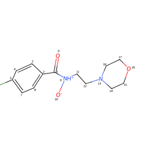 O=C(c1ccc(Cl)cc1)[NH+]([O-])CCN1CCOCC1